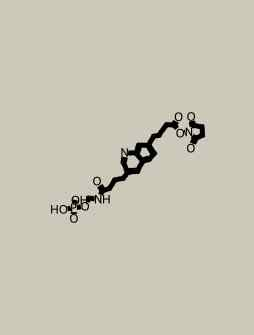 O=C(CCCc1cnc2cc(CCCC(=O)ON3C(=O)CCC3=O)ccc2c1)NCOP(=O)(O)O